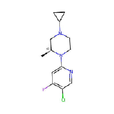 C[C@H]1CN(C2CC2)CCN1c1cc(I)c(Cl)cn1